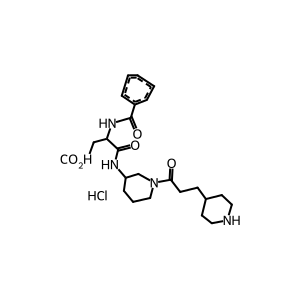 Cl.O=C(O)CC(NC(=O)c1ccccc1)C(=O)NC1CCCN(C(=O)CCC2CCNCC2)C1